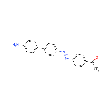 Nc1ccc(-c2ccc(/N=N/c3ccc(C(=O)C(F)(F)F)cc3)cc2)cc1